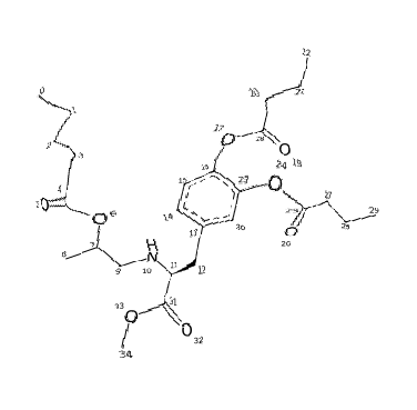 CCCCC(=O)OC(C)CN[C@@H](Cc1ccc(OC(=O)CCC)c(OC(=O)CCC)c1)C(=O)OC